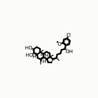 COc1cc(Cl)ccc1[C@@H](O)CCC[C@@H](C)[C@H]1CC[C@H]2C3=C(F)C[C@H]4[C@@H](O)[C@@H](O)CC[C@]4(C)[C@H]3CC[C@]12C